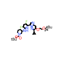 CC(C)(C)OC(=O)N1CCC[C@@H](Nc2nc(-c3cnc4cc(OCCO[Si](C)(C)C(C)(C)C)c(C5CC5)nn34)c(F)cc2F)C1